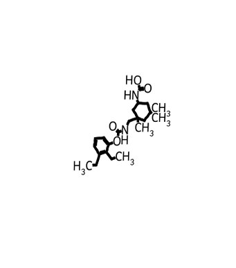 CCc1cccc(OC(=O)NCC2(C)CC(NC(=O)O)CC(C)(C)C2)c1CC